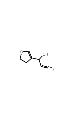 C=CC(O)C1=COCC1